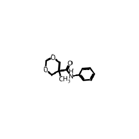 CC1(C(=O)Nc2ccccc2)COCOC1